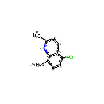 CC(=O)Nc1ccc(Cl)c2ccc(C)nc12